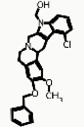 COc1cc2c(cc1OCc1ccccc1)CCN1Cc3c(c4c(Cl)cccc4n3CO)CC21